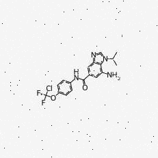 CC(C)n1cnc2cc(C(=O)Nc3ccc(OC(F)(F)Cl)cc3)cc(N)c21